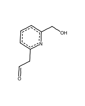 O=CCc1cccc(CO)n1